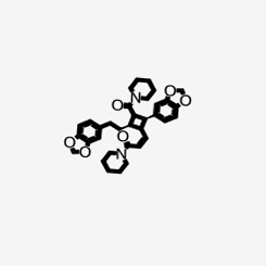 O=C(/C=C\C1[C@@H](CCc2ccc3c(c2)OCO3)C(C(=O)N2CCCCC2)[C@H]1c1ccc2c(c1)OCO2)N1CCCCC1